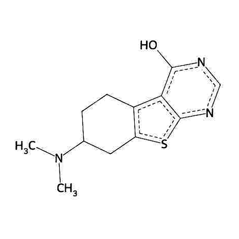 CN(C)C1CCc2c(sc3ncnc(O)c23)C1